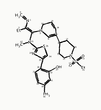 C=N/C(CC)=C(\N1C=C(C2CCN(S(=O)(=O)CC)CC2)C=CC1)N(C)c1nc(-c2ccc(P)cc2O)cs1